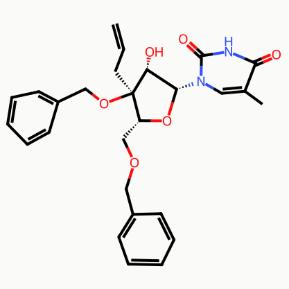 C=CC[C@]1(OCc2ccccc2)[C@H](O)[C@H](n2cc(C)c(=O)[nH]c2=O)O[C@@H]1COCc1ccccc1